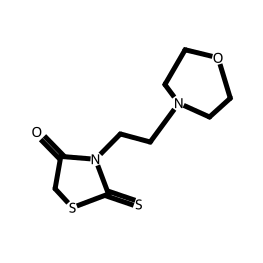 O=C1CSC(=S)N1CCN1CCOCC1